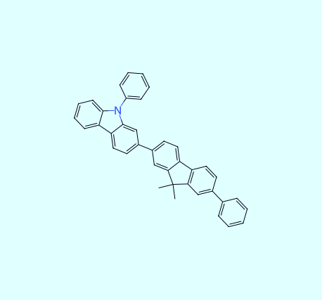 CC1(C)c2cc(-c3ccccc3)ccc2-c2ccc(-c3ccc4c5ccccc5n(-c5ccccc5)c4c3)cc21